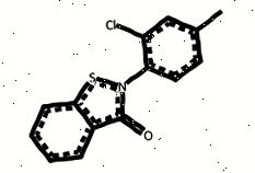 Cc1ccc(-n2sc3ccccc3c2=O)c(Cl)c1